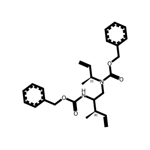 C=C[C@@H](C)C(CN(C(=O)OCc1ccccc1)[C@@H](C)C=C)NC(=O)OCc1ccccc1